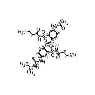 CCCC(=O)NS(=O)(=O)c1cc(NC(C)=O)ccc1/C=C/c1ccc(NC(=S)NC(C)C)cc1S(=O)(=O)NC(=O)CCC